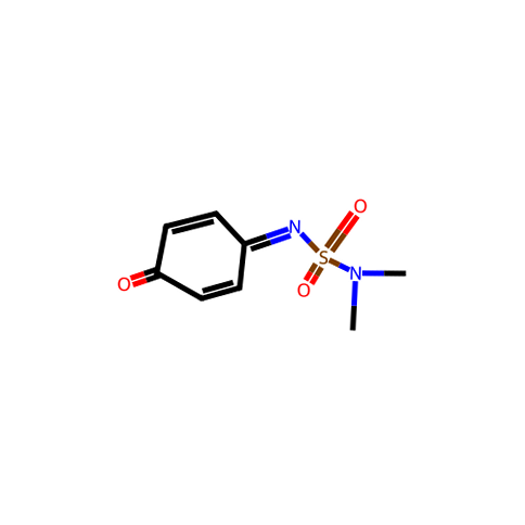 CN(C)S(=O)(=O)N=C1C=CC(=O)C=C1